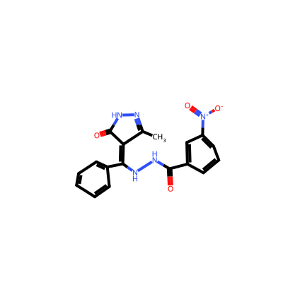 CC1=NNC(=O)C1=C(NNC(=O)c1cccc([N+](=O)[O-])c1)c1ccccc1